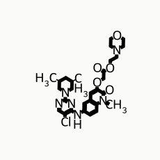 C[C@@H]1C[C@H](C)CN(c2ncc(Cl)c(Nc3ccc4c(c3)cc(OCC(=O)OCCN3CCOCC3)c(=O)n4C)n2)C1